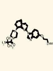 COCCOc1ccc2c(c1)ncn2-c1ccc2cccc(N3CCN(C(=O)C(C)(C)N)CC3)c2n1